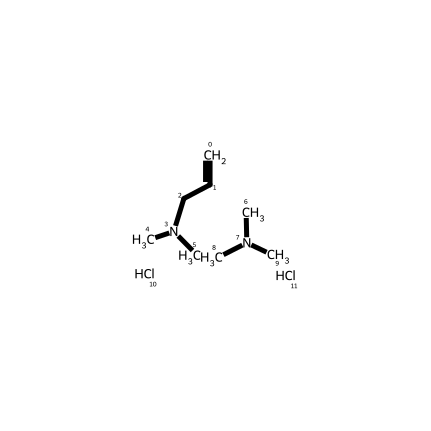 C=CCN(C)C.CN(C)C.Cl.Cl